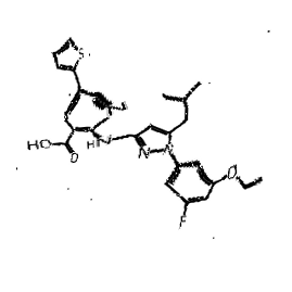 CCOc1cc(F)cc(-n2nc(Nc3ncc(-c4cccs4)cc3C(=O)O)cc2CC(C)C)c1